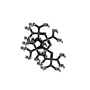 CN(C)P(=NP(=S)(N=P(N(C)C)(N(C)C)N(C)C)N=P(N(C)C)(N(C)C)N(C)C)(N=P(N(C)C)(N(C)C)N(C)C)N(C)C